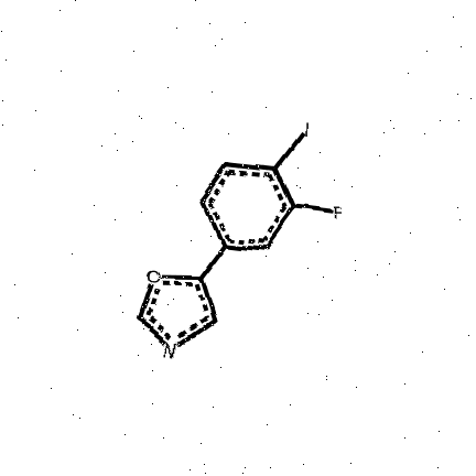 Fc1cc(-c2cnco2)ccc1I